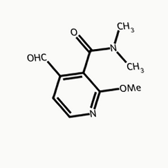 COc1nccc(C=O)c1C(=O)N(C)C